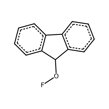 FOC1c2ccccc2-c2ccccc21